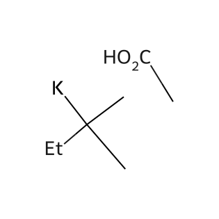 CC(=O)O.CC[C](C)(C)[K]